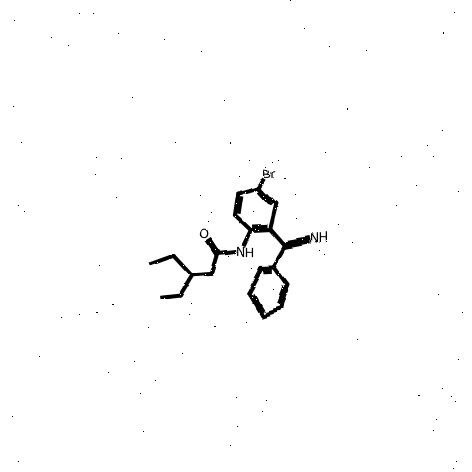 CCC(CC)CC(=O)Nc1ccc(Br)cc1C(=N)c1ccccc1